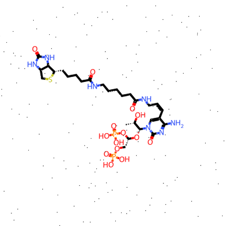 C[C@H](O)[C@@H](O[C@H](COP(=O)(O)O)OP(=O)(O)O)n1cc(/C=C\CNC(=O)CCCCCNC(=O)CCCC[C@@H]2SCC3NC(=O)NC32)c(N)nc1=O